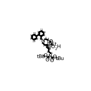 CCOP1(=O)CCN(Cc2ccccc2-c2ccccc2)CCC1(CCCCN(C(=O)OC(C)(C)C)C(=O)OC(C)(C)C)C(=O)O